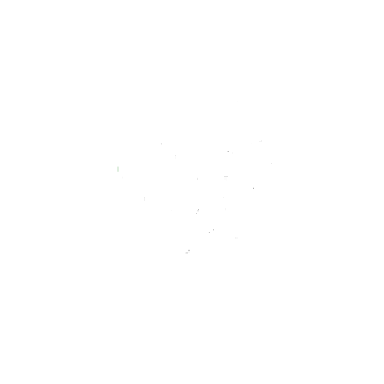 CC(C)C[C]1([Ti][C]2(C)C=Cc3ccccc32)C=CC2=C1CCCC2.F.F